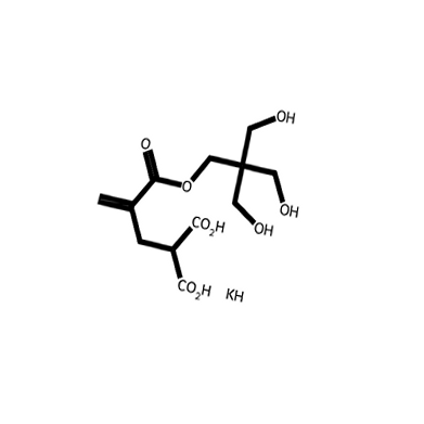 C=C(CC(C(=O)O)C(=O)O)C(=O)OCC(CO)(CO)CO.[KH]